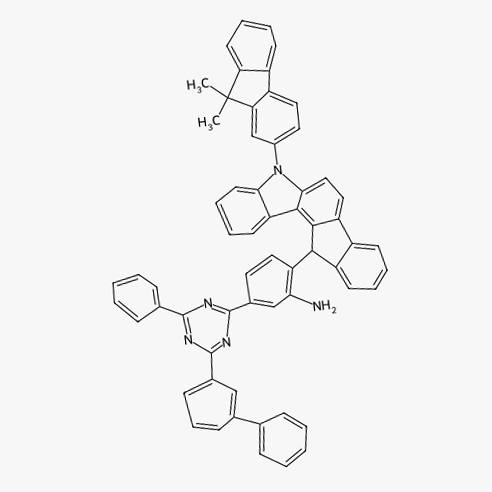 CC1(C)c2ccccc2-c2ccc(-n3c4ccccc4c4c5c(ccc43)-c3ccccc3C5c3ccc(-c4nc(-c5ccccc5)nc(-c5cccc(-c6ccccc6)c5)n4)cc3N)cc21